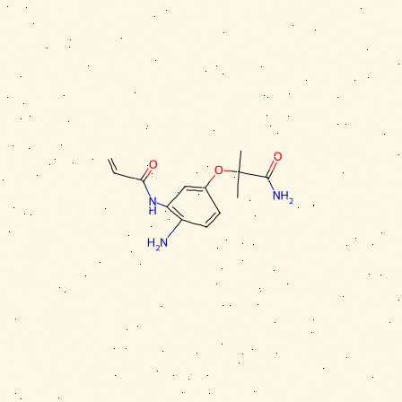 C=CC(=O)Nc1cc(OC(C)(C)C(N)=O)ccc1N